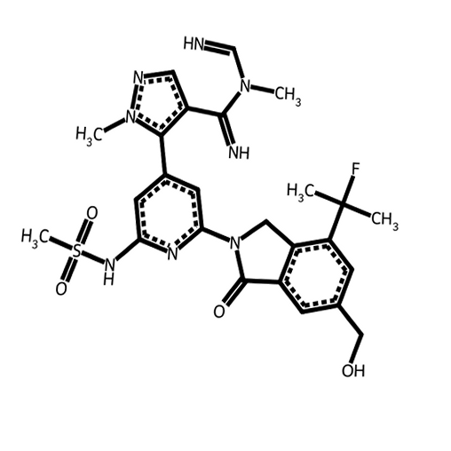 CN(C=N)C(=N)c1cnn(C)c1-c1cc(NS(C)(=O)=O)nc(N2Cc3c(cc(CO)cc3C(C)(C)F)C2=O)c1